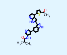 CC(=O)c1ccc(-c2ccnc3[nH]c(-c4n[nH]c5ccc(-c6cncc(NC(=O)C(C)C)c6)cc45)cc23)s1